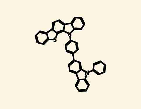 c1ccc(-n2c3ccccc3c3ccc(-c4ccc(-n5c6ccccc6c6ccc7c8ccccc8sc7c65)cc4)cc32)cc1